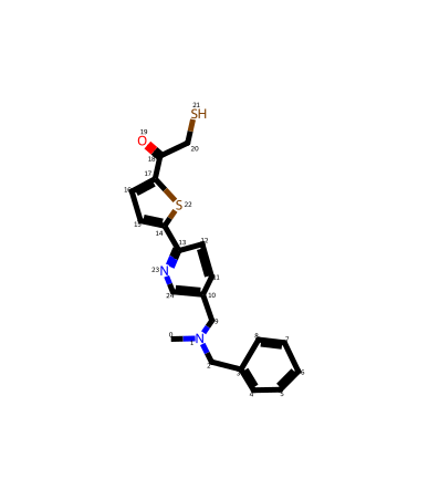 CN(Cc1ccccc1)Cc1ccc(-c2ccc(C(=O)CS)s2)nc1